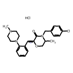 CC1CO/C(=C\c2ccccc2N2CCN(C)CC2)C(=O)N1Cc1ccc(Cl)cc1.Cl